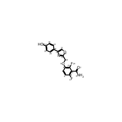 NC(=O)c1c(F)ccc(OCc2nc(-c3ccc(O)cc3)co2)c1F